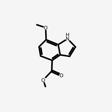 COC(=O)c1ccc(OC)c2[nH]ccc12